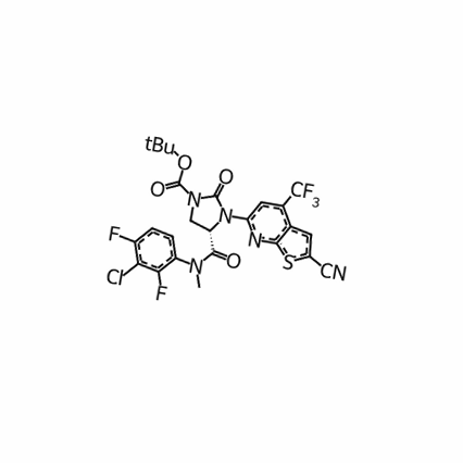 CN(C(=O)[C@@H]1CN(C(=O)OC(C)(C)C)C(=O)N1c1cc(C(F)(F)F)c2cc(C#N)sc2n1)c1ccc(F)c(Cl)c1F